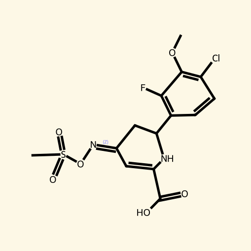 COc1c(Cl)ccc(C2C/C(=N/OS(C)(=O)=O)C=C(C(=O)O)N2)c1F